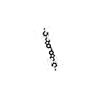 CC(=O)OC[C@H]1O[C@@H](OC(C)=O)[C@H](NC(=O)C2C(=O)c3ccc(Oc4ccc5c(c4)C(=O)C(C(=O)N[C@H]4[C@H](OC(C)=O)O[C@H](COC(C)=O)[C@@H](OC(C)=O)[C@@H]4OC(C)=O)C5=O)cc3C2=O)[C@@H](OC(C)=O)[C@@H]1OC(C)=O